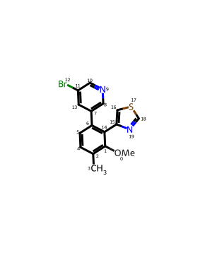 COc1c(C)ccc(-c2cncc(Br)c2)c1-c1cscn1